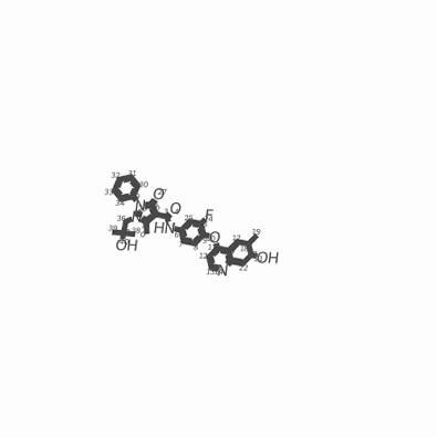 Cc1c(C(=O)Nc2ccc(Oc3ccnc4c3=CC(C)C(O)C=4)c(F)c2)c(=O)n(-c2ccccc2)n1CC(C)(C)O